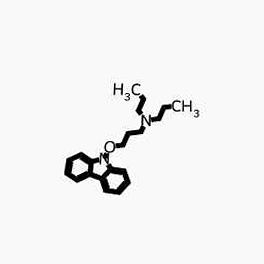 CCCN(CCC)CCCOn1c2ccccc2c2ccccc21